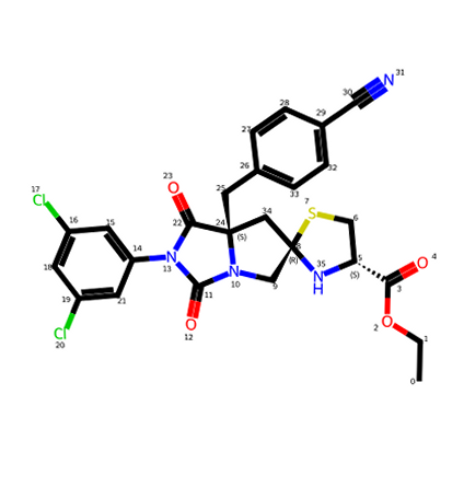 CCOC(=O)[C@H]1CS[C@]2(CN3C(=O)N(c4cc(Cl)cc(Cl)c4)C(=O)[C@]3(Cc3ccc(C#N)cc3)C2)N1